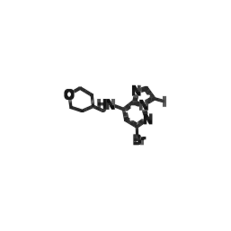 Brc1cc(NCC2CCOCC2)c2ncc(I)n2n1